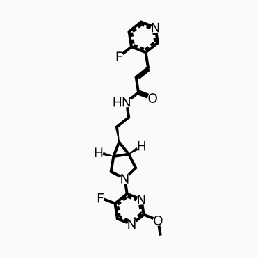 COc1ncc(F)c(N2C[C@@H]3[C@@H](CCNC(=O)/C=C/c4cnccc4F)[C@@H]3C2)n1